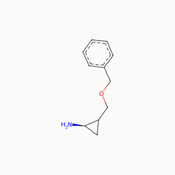 N[C@@H]1CC1COCc1ccccc1